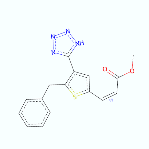 COC(=O)/C=C\c1cc(-c2nnn[nH]2)c(Cc2ccccc2)s1